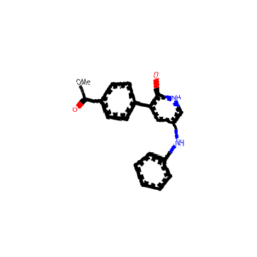 COC(=O)c1ccc(-c2cc(Nc3ccccc3)c[nH]c2=O)cc1